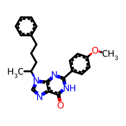 COc1ccc(-c2nc3c(ncn3C(C)CCCc3ccccc3)c(=O)[nH]2)cc1